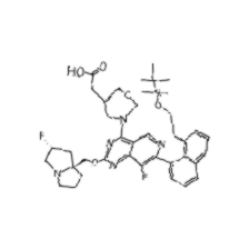 CC(C)(C)[Si](C)(C)OCCc1cccc2cccc(-c3ncc4c(N5CCCC(CC(=O)O)C5)nc(OC[C@@]56CCCN5C[C@H](F)C6)nc4c3F)c12